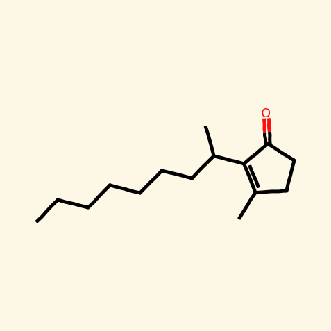 CCCCCCCC(C)C1=C(C)CCC1=O